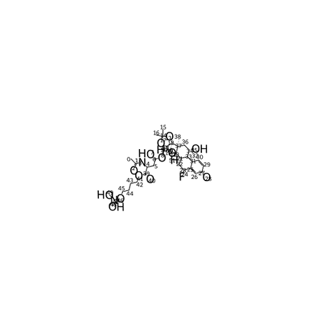 CC(=O)NC(CC(=O)OCC(=O)[C@@]12OC(C)(C)O[C@@H]1CC1[C@@H]3CC(F)C4=CC(=O)C=C[C@]4(C)C3[C@@H](O)C[C@@]12C)C(=O)OCCCCON(O)O